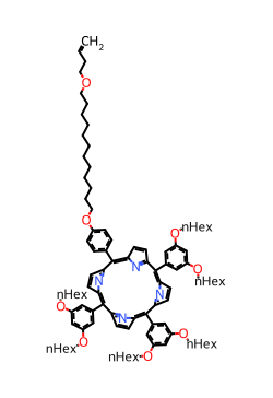 C=CCCOCCCCCCCCCCCCOc1ccc(C2=C3C=CC(=N3)C(c3cc(OCCCCCC)cc(OCCCCCC)c3)=C3C=CC(=N3)C(c3cc(OCCCCCC)cc(OCCCCCC)c3)=C3C=CC(=N3)C(c3cc(OCCCCCC)cc(OCCCCCC)c3)=C3C=CC2=N3)cc1